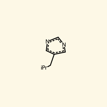 CC(C)Cc1cncnc1